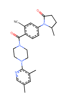 Cc1cnc(N2CCN(C(=O)c3ccc(N4C(=O)CCC4C)cc3C#N)CC2)c(C)c1